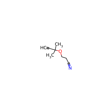 C#CC(C)(C)OCCC#N